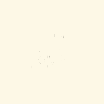 CN(C)CCOCC(C)(C)S(=O)(=O)C1(CN2CCc3c(C(=O)O)nn(C)c3C2=O)CC1